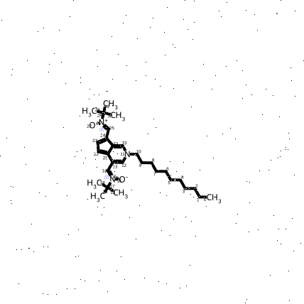 CCCCCCCCCCCn1cc(/C=[N+](\[O-])C(C)(C)C)c2ccc(/C=[N+](\[O-])C(C)(C)C)c-2c1